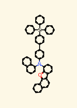 c1ccc([Si](c2ccccc2)(c2ccccc2)c2ccc(-c3ccc(N(c4cccc5ccccc45)c4cccc5c4oc4c6ccccc6ccc54)cc3)cc2)cc1